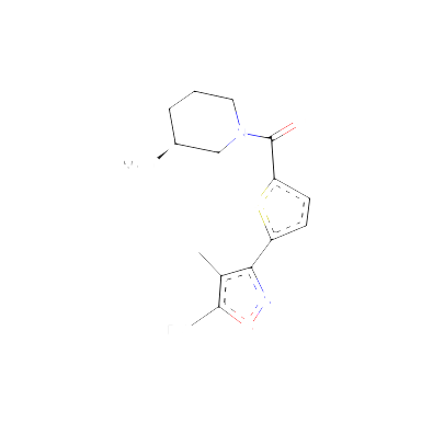 CO[C@H]1CCCN(C(=O)c2ccc(-c3noc(C(F)(F)F)c3C)s2)C1